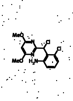 COc1cc(OC)nc(C(Cl)c2c(N)cccc2Cl)n1